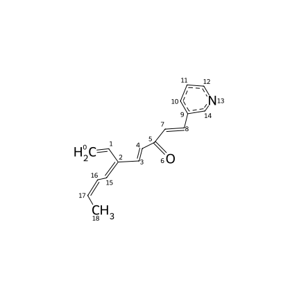 C=CC(/C=C/C(=O)/C=C/c1cccnc1)=C\C=C/C